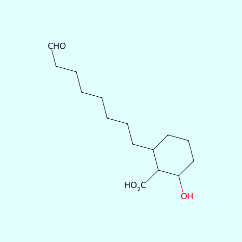 O=CCCCCCCCC1CCCC(O)C1C(=O)O